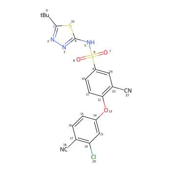 CC(C)(C)c1nnc(NS(=O)(=O)c2ccc(Oc3ccc(C#N)c(Cl)c3)c(C#N)c2)s1